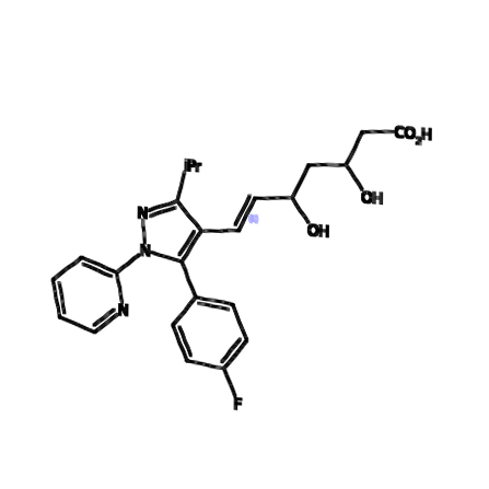 CC(C)c1nn(-c2ccccn2)c(-c2ccc(F)cc2)c1/C=C/C(O)CC(O)CC(=O)O